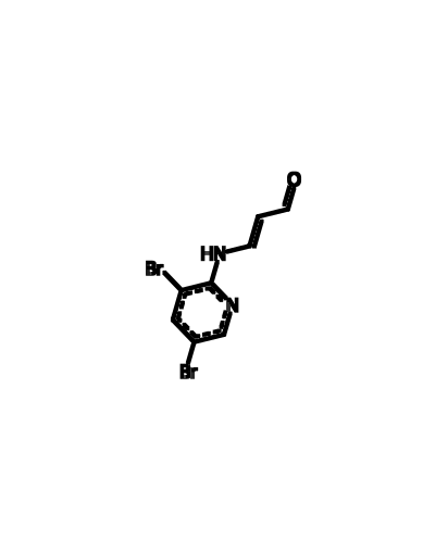 O=CC=CNc1ncc(Br)cc1Br